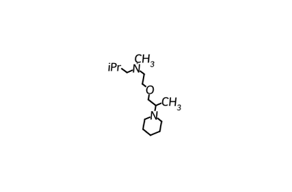 CC(C)CN(C)CCOCC(C)N1CCCCC1